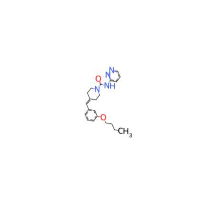 CCCCOc1cccc(C=C2CCN(C(=O)Nc3cccnn3)CC2)c1